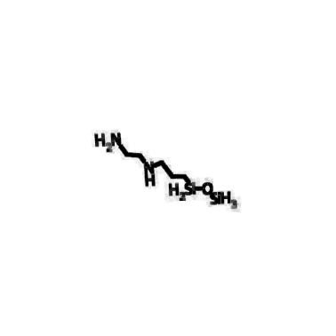 NCCNCCC[SiH2]O[SiH3]